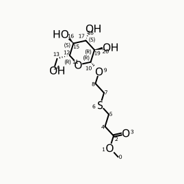 COC(=O)CCSCCO[C@@H]1O[C@H](CO)[C@@H](O)[C@H](O)[C@H]1O